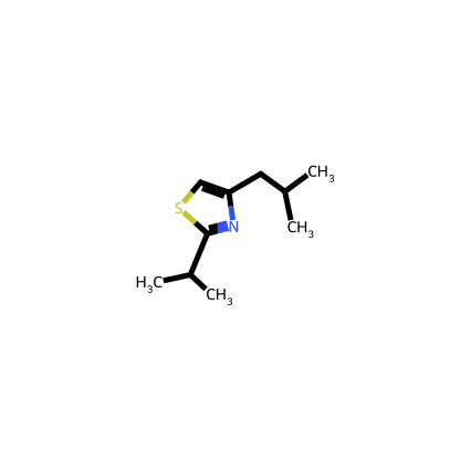 CC(C)Cc1csc(C(C)C)n1